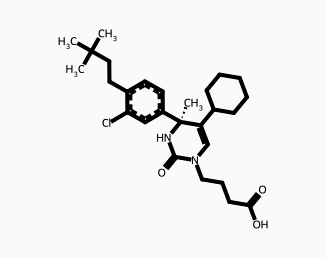 CC(C)(C)CCc1ccc([C@]2(C)NC(=O)N(CCCC(=O)O)C=C2C2CCCCC2)cc1Cl